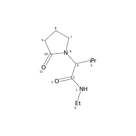 CCNC(=O)C(C(C)C)N1CCCC1=O